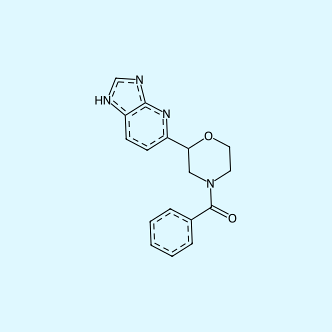 O=C(c1ccccc1)N1CCOC(c2ccc3[nH]cnc3n2)C1